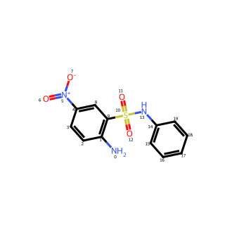 Nc1ccc([N+](=O)[O-])cc1S(=O)(=O)Nc1ccccc1